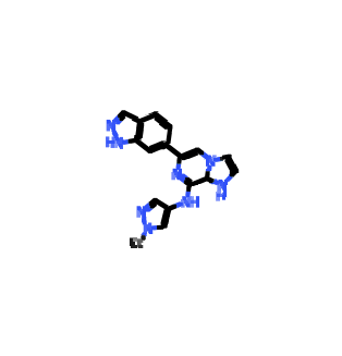 CCn1cc(NC2=NC(c3ccc4cn[nH]c4c3)=CN3C=CNC23)cn1